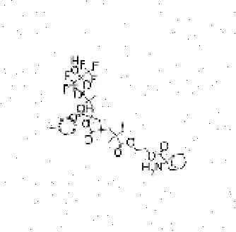 CCC(C)(CC(C)(CC(C)(CC(C)(C)C(=O)OC(O)(C(F)(F)F)C(F)(F)F)C(=O)O)C(=O)Oc1ccc(C)cc1)C(=O)OCCOC(=O)C1(N)CC2CCC1C2